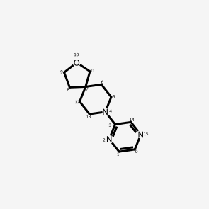 c1cnc(N2CCC3(CCOC3)CC2)cn1